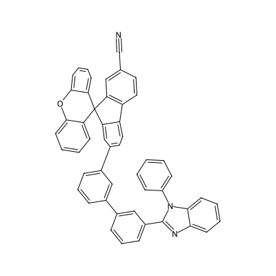 N#Cc1ccc2c(c1)C1(c3ccccc3Oc3ccccc31)c1cc(-c3cccc(-c4cccc(-c5nc6ccccc6n5-c5ccccc5)c4)c3)ccc1-2